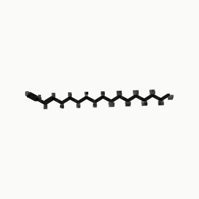 [C]#CC=CCCCCCCCCCCCCCC